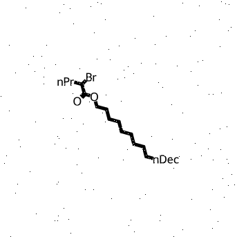 CCCCCCCCCCCCCCCCCCCOC(=O)C(Br)CCC